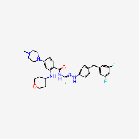 C/C(=N\Nc1ccc(Cc2cc(F)cc(F)c2)cc1)NC(=O)c1ccc(N2CCN(C)CC2)cc1NC1CCOCC1